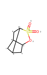 O=S1(=O)OC2CC3CC2CC31